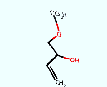 C=CC(O)COC(=O)O